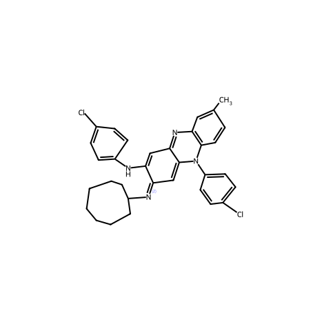 Cc1ccc2c(c1)nc1cc(Nc3ccc(Cl)cc3)/c(=N\C3CCCCCCC3)cc-1n2-c1ccc(Cl)cc1